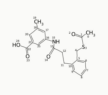 CC(=O)SCc1ccccc1CCC(=O)Nc1cc(C)cc(C(=O)O)c1